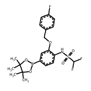 CC1(C)OB(c2ccc(NS(=O)(=O)C(F)F)c(OCc3ccc(F)cc3)c2)OC1(C)C